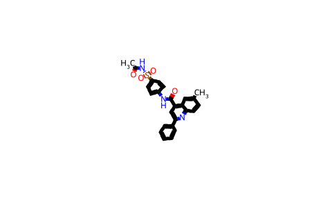 CC(=O)NS(=O)(=O)c1ccc(NC(=O)c2cc(-c3ccccc3)nc3ccc(C)cc23)cc1